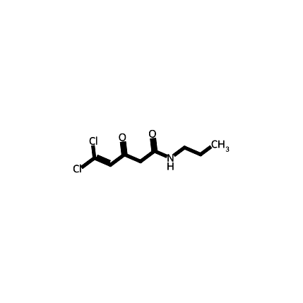 CCCNC(=O)CC(=O)C=C(Cl)Cl